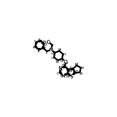 CCN(Cc1ccccc1)C1CCC(Oc2ncnc3sc4c(c23)CCC4)CC1